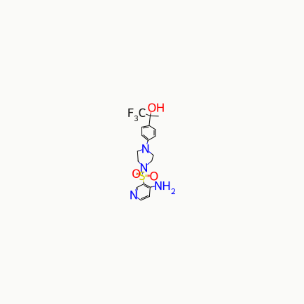 CC(O)(c1ccc(N2CCN(S(=O)(=O)c3cnccc3N)CC2)cc1)C(F)(F)F